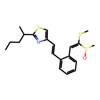 CCCC(C)c1nc(C=Cc2ccccc2C=C(SC)[S+](C)[O-])cs1